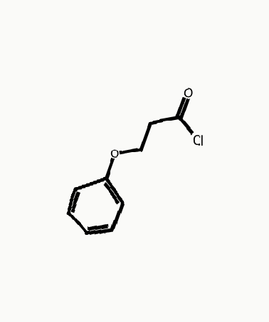 O=C(Cl)CCOc1ccccc1